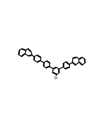 Brc1cc(-c2ccc(-c3ccc(-c4ccc5ccccc5c4)cc3)cc2)cc(-c2ccc(-c3ccc4ccccc4c3)cc2)c1